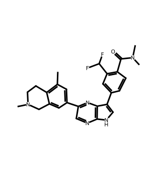 Cc1cc(-c2cnc3[nH]cc(-c4ccc(C(=O)N(C)C)c(C(F)F)c4)c3n2)cc2c1CCN(C)C2